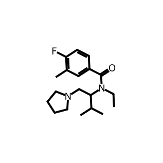 CCN(C(=O)c1ccc(F)c(C)c1)C(CN1CCCC1)C(C)C